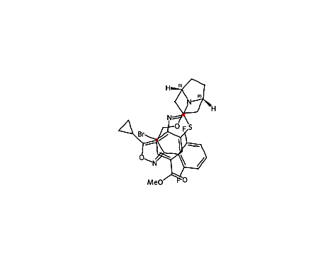 COC(=O)c1cc(Br)c2nc(N3[C@@H]4CC[C@H]3CC(OCc3c(-c5c(F)cccc5F)noc3C3CC3)C4)sc2c1